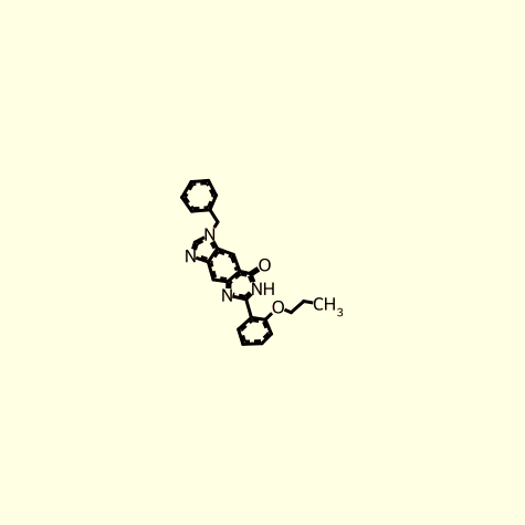 CCCOc1ccccc1-c1nc2cc3ncn(Cc4ccccc4)c3cc2c(=O)[nH]1